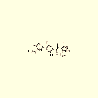 Cc1ccc(-c2cc(O)c(C(=O)Nc3c(C)n[nH]c3C(F)(F)F)cc2F)nc1C(C)O